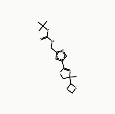 CC(C)(C)OC(=O)NCc1nc(C2=NC(C)(C3OCO3)CS2)cs1